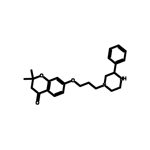 CC1(C)CC(=O)c2ccc(OCCCN3CCNC(c4ccccc4)C3)cc2O1